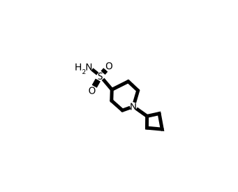 NS(=O)(=O)C1CCN(C2CCC2)CC1